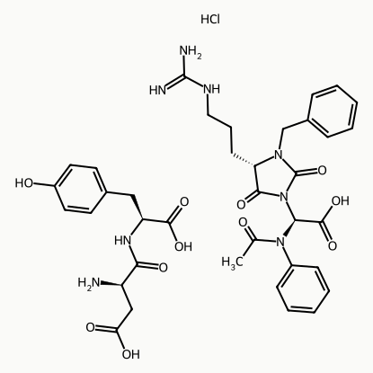 CC(=O)N(c1ccccc1)[C@H](C(=O)O)N1C(=O)[C@H](CCCNC(=N)N)N(Cc2ccccc2)C1=O.Cl.N[C@H](CC(=O)O)C(=O)N[C@@H](Cc1ccc(O)cc1)C(=O)O